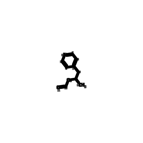 CC(Cc1ccncc1)O[C]=O